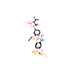 CCOc1cc(NC(=O)[C@@H](O)C(C)C)ccc1S(=O)(=O)Nc1cccc(OC(F)(P)P)c1